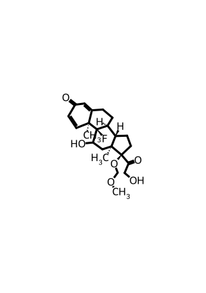 COCO[C@]1(C(=O)CO)CC[C@H]2[C@@H]3CCC4=CC(=O)C=C[C@]4(C)[C@@]3(F)C(O)C[C@@]21C